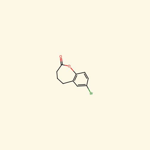 O=C1CCCc2cc(Br)ccc2O1